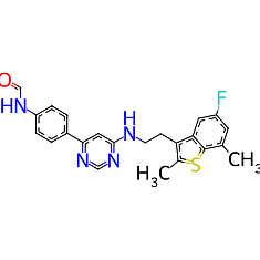 Cc1sc2c(C)cc(F)cc2c1CCNc1cc(-c2ccc(NC=O)cc2)ncn1